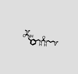 CN(C)CCCNC(=O)NCc1cccc(CNC(=O)N(C)C)c1